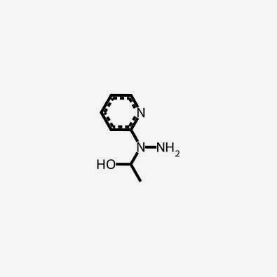 CC(O)N(N)c1ccccn1